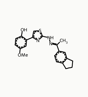 COc1ccc(O)c(-c2csc(NN=C(C)c3ccc4c(c3)CCC4)n2)c1